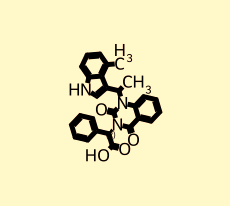 Cc1cccc2[nH]cc(C(C)n3c(=O)n([C@@H](C(=O)O)c4ccccc4)c(=O)c4ccccc43)c12